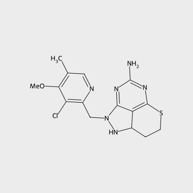 COc1c(C)cnc(CN2NC3CCSc4nc(N)nc2c43)c1Cl